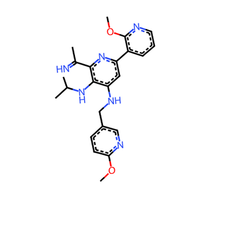 COc1ccc(CNc2cc(-c3cccnc3OC)nc(C(C)=N)c2NC(C)C)cn1